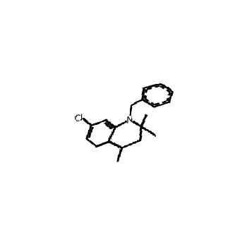 CC1CC(C)(C)N(Cc2ccccc2)C2=CC(Cl)=CCC21